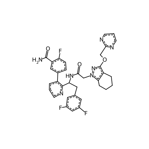 NC(=O)c1cc(-c2cccnc2C(Cc2cc(F)cc(F)c2)NC(=O)Cn2nc(OCc3ncccn3)c3c2CCCC3)ccc1F